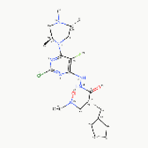 C[C@@H]1CN(c2nc(Cl)nc(NNC(=O)[C@H](CC3CCCC3)CN(O)C=O)c2F)[C@@H](C)CN1C